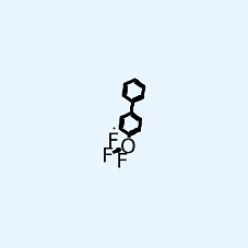 FC(F)(F)Oc1[c]cc(-c2ccccc2)cc1